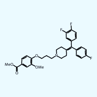 COC(=O)c1ccc(OCCCN2CCC(=C(c3ccc(F)cc3)c3ccc(F)c(F)c3)CC2)c(OC)c1